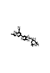 Cc1cn2cc(-c3cc4sc(NC5CC(C)(C)NC(C)(C)C5)nc4cn3)cc(C#N)c2n1